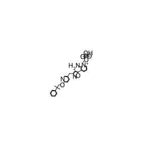 CC(C)(COc1ccc(Cc2cc(-c3ccc[n+](COP(=O)([O-])O)c3N)on2)cn1)c1ccccc1